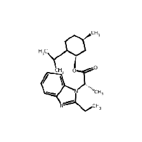 CCc1nc2ccccc2n1[C@@H](C)C(=O)O[C@@H]1C[C@H](C)CCC1C(C)C